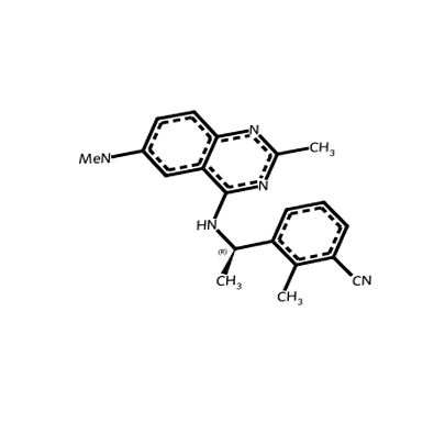 CNc1ccc2nc(C)nc(N[C@H](C)c3cccc(C#N)c3C)c2c1